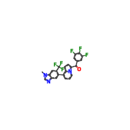 Cn1cnc2cc(-c3cccn4c(C(=O)c5cc(F)c(F)c(F)c5)ccc34)c(C(F)(F)F)cc21